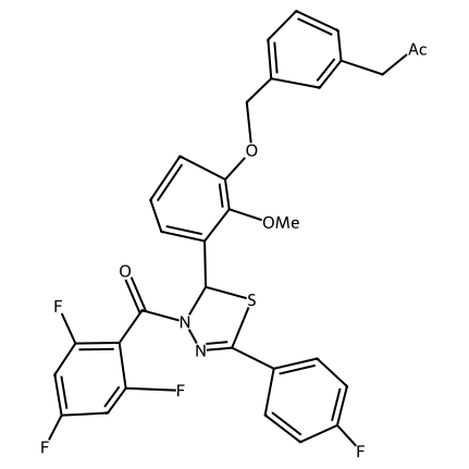 COc1c(OCc2cccc(CC(C)=O)c2)cccc1C1SC(c2ccc(F)cc2)=NN1C(=O)c1c(F)cc(F)cc1F